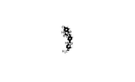 COc1ccc(NC(=O)c2ccc(CN3C(=O)c4ccc(Cl)cc4NC(=O)C3C)cc2)nc1